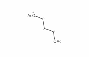 CC(=O)O[CH]CCOC(C)=O